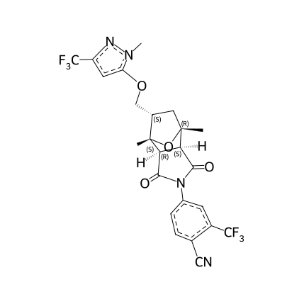 Cn1nc(C(F)(F)F)cc1OC[C@@H]1C[C@@]2(C)O[C@]1(C)[C@@H]1C(=O)N(c3ccc(C#N)c(C(F)(F)F)c3)C(=O)[C@@H]12